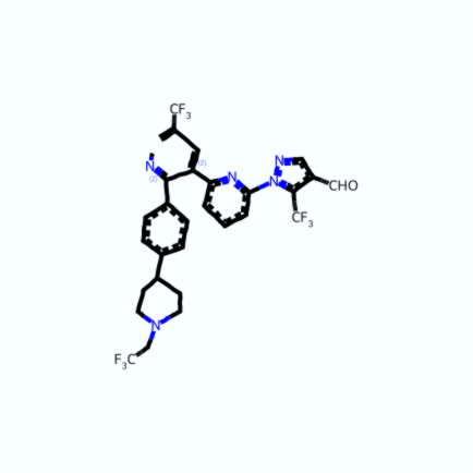 C=C(/C=C(\C(=N/C)c1ccc(C2CCN(CC(F)(F)F)CC2)cc1)c1cccc(-n2ncc(C=O)c2C(F)(F)F)n1)C(F)(F)F